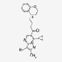 Cc1nn2c(C3CC3)c(C(=O)CCC[C@H]3CCOc4ccccc43)cnc2c1Br